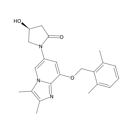 Cc1cccc(C)c1COc1cc(N2C[C@@H](O)CC2=O)cn2c(C)c(C)nc12